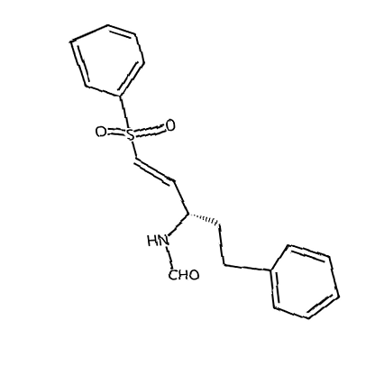 O=CN[C@H](/C=C/S(=O)(=O)c1ccccc1)CCc1ccccc1